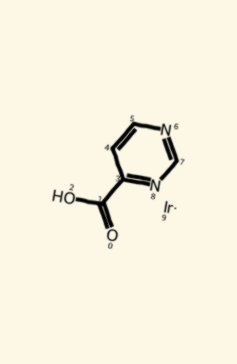 O=C(O)c1ccncn1.[Ir]